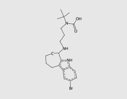 CC(C)(C)N(CCCNC1CCCCc2c1[nH]c1ccc(Br)cc21)C(=O)O